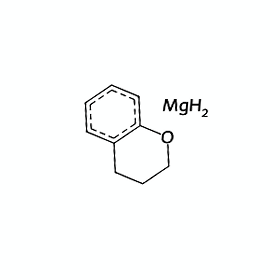 [MgH2].c1ccc2c(c1)CCCO2